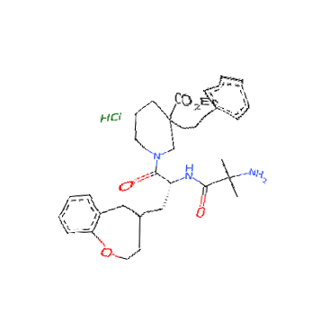 CCOC(=O)C1(Cc2ccccc2)CCCN(C(=O)[C@@H](CC2CCOc3ccccc3C2)NC(=O)C(C)(C)N)C1.Cl